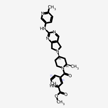 C/C=C\C(=C/C(=N)C(=O)OC)C(=O)N1CC[C@@H](N2Cc3cnc(Nc4ccc(C)nc4)nc3C2)C[C@H]1C